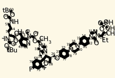 CC[C@@H]([C@H](C)OP(=O)(O)O)n1ncn(-c2ccc(N3CCN(c4ccc(OC[C@@H]5CO[C@@](Cn6c[n+](C(C)OC(=O)N(C)c7ncccc7COC(=O)[C@H](CCCNC(=O)OC(C)(C)C)NC(=O)OC(C)(C)C)cn6)(c6ccc(F)cc6F)C5)cc4)CC3)cc2)c1=O